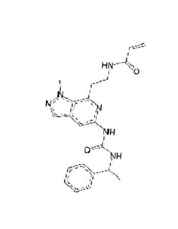 C=CC(=O)NCCc1nc(NC(=O)NC(C)c2ccccc2)cc2cnn(C)c12